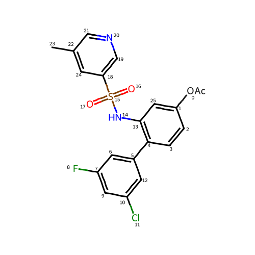 CC(=O)Oc1ccc(-c2cc(F)cc(Cl)c2)c(NS(=O)(=O)c2cncc(C)c2)c1